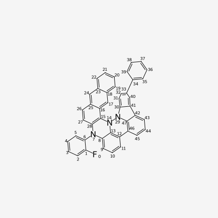 Fc1ccccc1-n1c2cccc3c2-n(c2c4cc5ccccc5cc4ccc21)n1c2ccc(-c4ccccc4)cc2c2cccc3c21